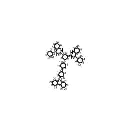 c1ccc(-c2nc(-c3cc(-c4ccc(-c5ccc(-n6c7ccccc7c7ccccc76)cc5)cc4)cc(-c4nc(-c5ccccc5)c5ccccc5n4)c3)nc3ccccc23)cc1